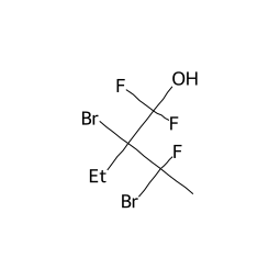 CCC(Br)(C(O)(F)F)C(C)(F)Br